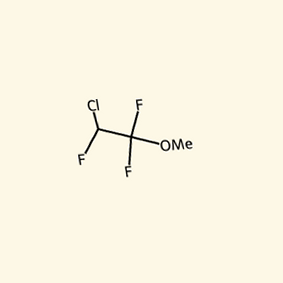 COC(F)(F)C(F)Cl